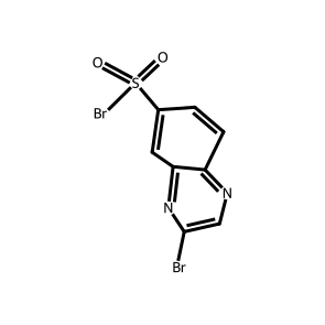 O=S(=O)(Br)c1ccc2ncc(Br)nc2c1